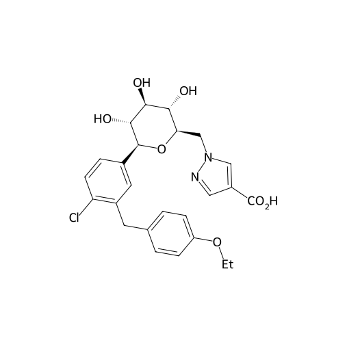 CCOc1ccc(Cc2cc([C@@H]3O[C@H](Cn4cc(C(=O)O)cn4)[C@@H](O)[C@H](O)[C@H]3O)ccc2Cl)cc1